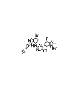 Cc1nc2c(F)cc(-c3nc(Nc4ccc(Br)c5cnn(COCC[Si](C)(C)C)c45)ncc3Cl)cc2n1C(C)C